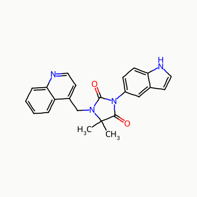 CC1(C)C(=O)N(c2ccc3[nH]ccc3c2)C(=O)N1Cc1ccnc2ccccc12